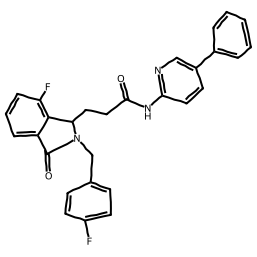 O=C(CCC1c2c(F)cccc2C(=O)N1Cc1ccc(F)cc1)Nc1ccc(-c2ccccc2)cn1